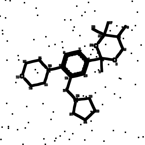 CC1COC(C)(c2ccc(N3CCOCC3)c(CN3CCCC3)c2)OC1(C)C